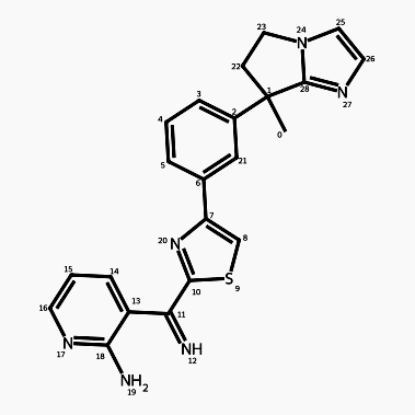 CC1(c2cccc(-c3csc(C(=N)c4cccnc4N)n3)c2)CCn2ccnc21